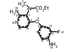 CCOC(=O)N(C)c1c(Oc2ccc(N)c(F)c2)ccnc1N